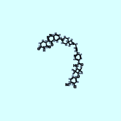 CC1(C)C(NC(=O)c2ccc(C#CCN3CC4(CCN(c5ccc6nnn(C7CCC(=O)NC7=O)c(=O)c6c5)CC4)C3)nc2)C(C)(C)C1Oc1ccc(C#N)c(Cl)c1